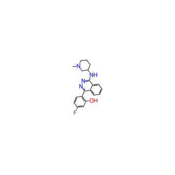 CN1CCCC(Nc2nnc(-c3ccc(F)cc3O)c3ccccc23)C1